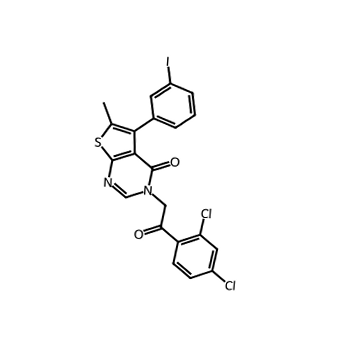 Cc1sc2ncn(CC(=O)c3ccc(Cl)cc3Cl)c(=O)c2c1-c1cccc(I)c1